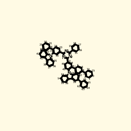 c1ccc(-c2ccc(-c3cc(-c4nc(-c5ccccc5)nc(-c5ccc(-c6ccccc6)c(-n6c7ccccc7c7ccccc76)c5)n4)ccc3-n3c4ccccc4c4cc(-c5ccccc5)ccc43)cc2)cc1